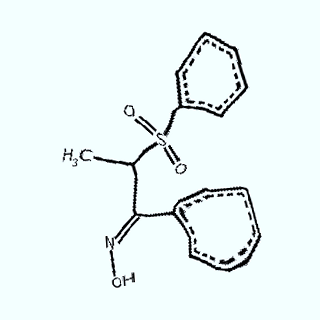 CC(/C(=N/O)c1ccccc1)S(=O)(=O)c1ccccc1